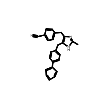 Cc1nc(Cc2ccc(C#N)cc2)c(Cc2ccc(-c3ccccc3)cc2)[nH]1